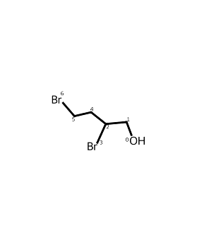 OCC(Br)CCBr